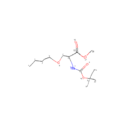 CCCCOCC(NC(=O)OC(C)(C)C)C(=O)OC